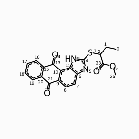 CCC(Sc1nc2ccc3c(c2[nH]1)C(=O)c1ccccc1C3=O)C(=O)OC